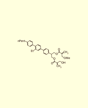 C=C(CO)C(=O)OCC(COC(=O)C(=C)COC)c1ccc(-c2ccc(-c3ccc(CCCCC)cc3)c(CC)c2)cc1